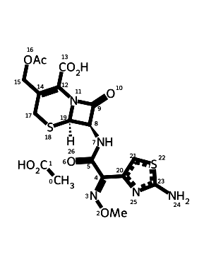 CC(=O)O.CO/N=C(/C(=O)N[C@@H]1C(=O)N2C(C(=O)O)=C(COC(C)=O)CS[C@H]12)c1csc(N)n1